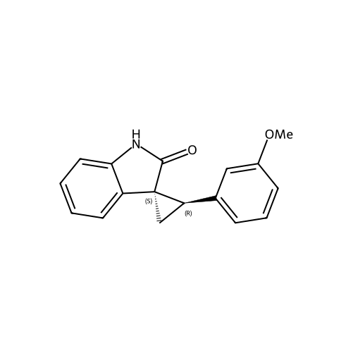 COc1cccc([C@H]2C[C@]23C(=O)Nc2ccccc23)c1